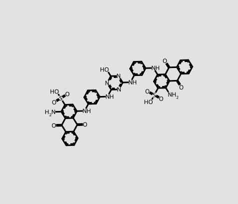 Nc1c(S(=O)(=O)O)cc(Nc2cccc(Nc3nc(O)nc(Nc4cccc(Nc5cc(S(=O)(=O)O)c(N)c6c5C(=O)c5ccccc5C6=O)c4)n3)c2)c2c1C(=O)c1ccccc1C2=O